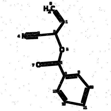 C=CC(C#N)OC(=O)c1ccccc1